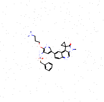 CN(C)CCCOc1ncc(-c2ccc3ncc4c(c3c2)C2(CC2)C(=O)N4C)cc1NS(=O)(=O)Cc1ccccc1